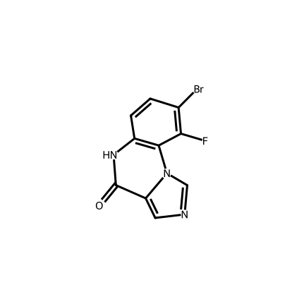 O=c1[nH]c2ccc(Br)c(F)c2n2cncc12